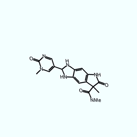 CNC(=O)C1(C)C(=O)Nc2cc3c(cc21)NC(c1cnc(=O)n(C)c1)N3